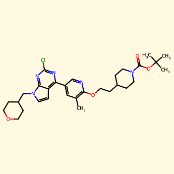 Cc1cc(-c2nc(Cl)nc3c2ccn3CC2CCOCC2)cnc1OCCC1CCN(C(=O)OC(C)(C)C)CC1